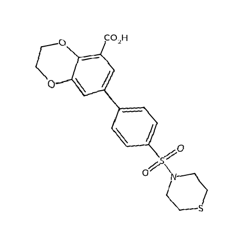 O=C(O)c1cc(-c2ccc(S(=O)(=O)N3CCSCC3)cc2)cc2c1OCCO2